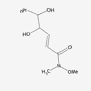 CCCC(O)C(O)C=CC(=O)N(C)OC